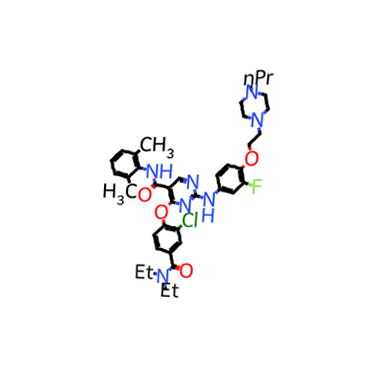 CCCN1CCN(CCOc2ccc(Nc3ncc(C(=O)Nc4c(C)cccc4C)c(Oc4ccc(C(=O)N(CC)CC)cc4Cl)n3)cc2F)CC1